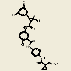 COCC1(C(=O)Nc2ccc(NC(=O)c3cc(NC(=O)C4C(c5cc(Cl)cc(Cl)c5)C4(Cl)Cl)ccc3Cl)cc2)CC1